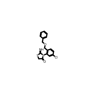 N=C1SCC(=O)N1c1cc(Cl)ccc1COCc1ccccc1